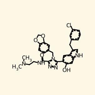 CN(C)CCNC(=O)c1nnc(-c2cc3c(Cc4cccc(Cl)c4)c[nH]c3cc2O)n1Cc1ccc2c(c1)OCO2